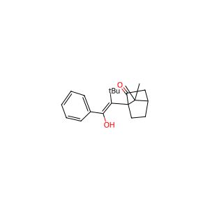 CC(C)(C)C(=C(O)c1ccccc1)C12CCC(CC1=O)C2(C)C